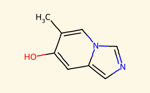 Cc1cn2cncc2cc1O